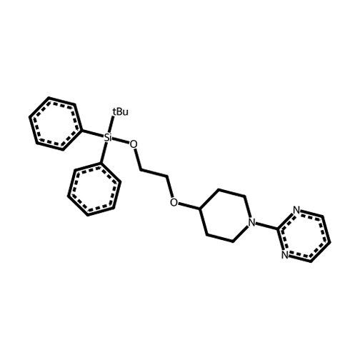 CC(C)(C)[Si](OCCOC1CCN(c2ncccn2)CC1)(c1ccccc1)c1ccccc1